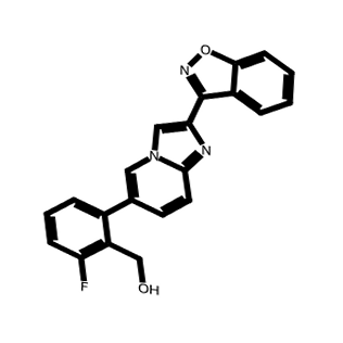 OCc1c(F)cccc1-c1ccc2nc(-c3noc4ccccc34)cn2c1